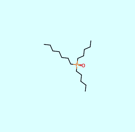 CCCCCCCP(=O)(CCCCC)CCCCC